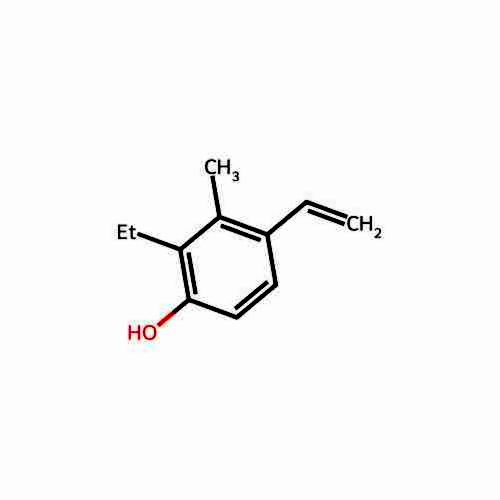 C=Cc1ccc(O)c(CC)c1C